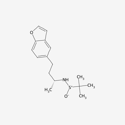 C[C@H](CCc1ccc2occc2c1)N[S+]([O-])C(C)(C)C